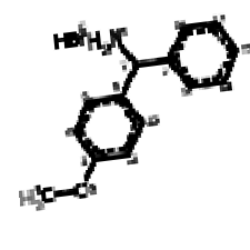 Br.COc1ccc(C(N)c2ccccc2)cc1